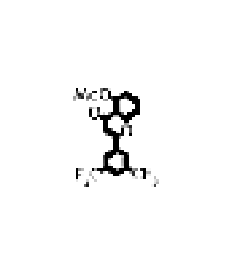 COc1cccc2oc(-c3cc(C(F)(F)F)cc(C(F)(F)F)c3)cc(=O)c12